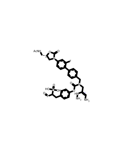 CC(=O)NC[C@H]1CN(c2ccc(-c3ccc(CN(C/C(=C/N)NN)C(=O)Oc4ccc(CC(P=O)P(=O)(O)O)cc4)cc3)c(F)c2)C(=O)O1